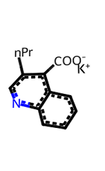 CCCc1cnc2ccccc2c1C(=O)[O-].[K+]